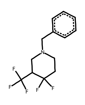 FC(F)(F)C1CN(Cc2ccccc2)CCC1(F)F